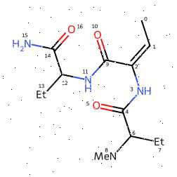 C/C=C(/NC(=O)C(CC)NC)C(=O)NC(CC)C(N)=O